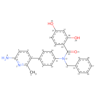 Cc1nc(N)ccc1-c1ccc(N(Cc2ccccc2)C(=O)c2ccc(O)cc2O)cc1